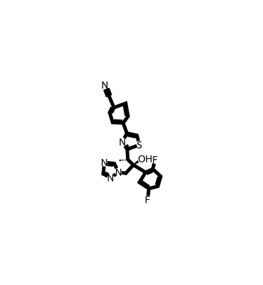 C[C@H](c1nc(-c2ccc(C#N)cc2)cs1)[C@@](O)(Cn1cncn1)c1cc(F)ccc1F